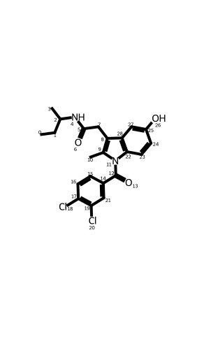 CCC(C)NC(=O)Cc1c(C)n(C(=O)c2ccc(Cl)c(Cl)c2)c2ccc(O)cc12